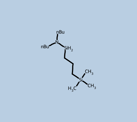 CCCCN(CCCC)[SiH2]CCC[Si](C)(C)C